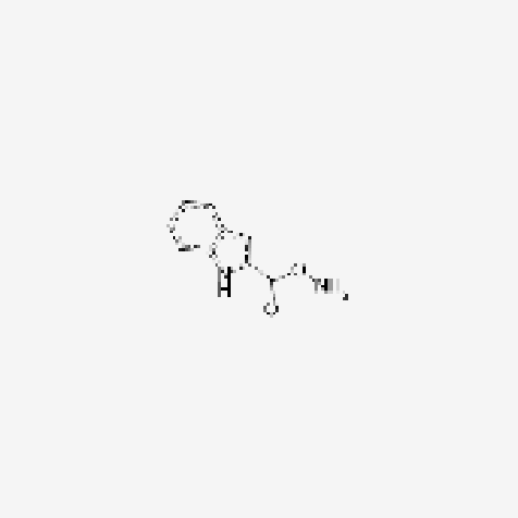 NOC(=O)c1cc2ccccc2[nH]1